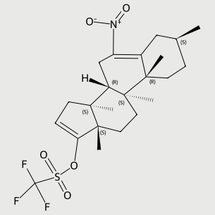 C[C@H]1CC[C@@]2(C)C(=C([N+](=O)[O-])C[C@@H]3[C@]2(C)CC[C@]2(C)C(OS(=O)(=O)C(F)(F)F)=CC[C@@]32C)C1